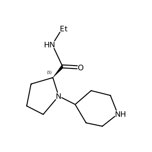 CCNC(=O)[C@@H]1CCCN1C1CCNCC1